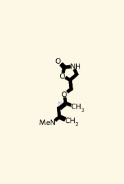 C=C(/C=C(\C)OCC1CNC(=O)O1)NC